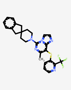 Cc1nc(N2CCC3(CC2)Cc2ccccc2C3)n2ccnc2c1Sc1cccnc1C(F)(F)F